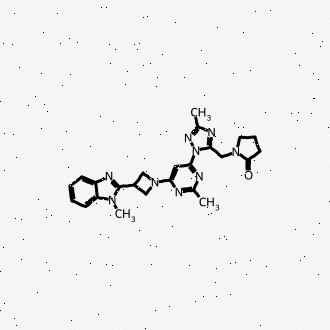 Cc1nc(N2CC(c3nc4ccccc4n3C)C2)cc(-n2nc(C)nc2CN2CCCC2=O)n1